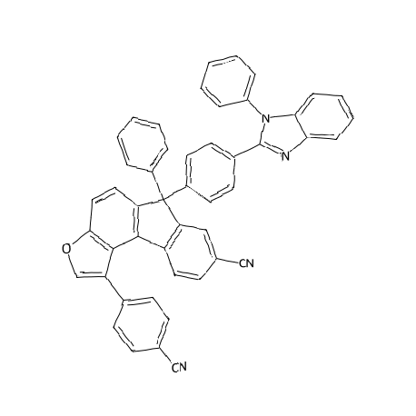 N#Cc1ccc(-c2coc3ccc4c(c23)-c2ccc(C#N)cc2C4(c2ccccc2)c2ccc(-c3nc4ccccc4n3-c3ccccc3)cc2)cc1